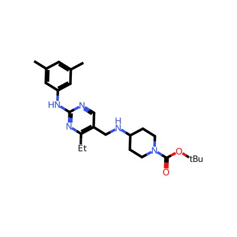 CCc1nc(Nc2cc(C)cc(C)c2)ncc1CNC1CCN(C(=O)OC(C)(C)C)CC1